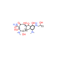 CCC(O)CNc1cc(N(C)C)c2c(c1O)C(=O)/C1=C(\O)CC(=O)/C(C(N)=O)=C(/O)C(N(C)C)[C@@H](O)C[C@@H]1C2